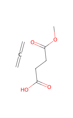 C=C=C.COC(=O)CCC(=O)O